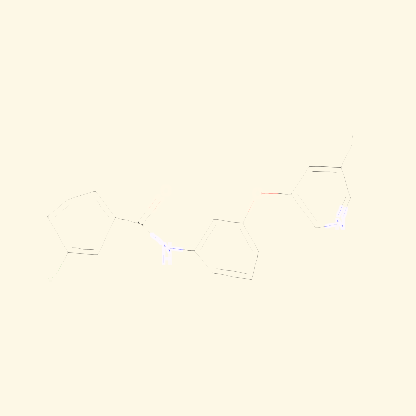 O=C(Nc1cccc(Oc2cncc(C(F)(F)F)c2)c1)c1cccc(Br)c1